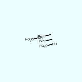 CCCC(C)C.CCCC(C)C.O=C(O)O.O=C(O)O